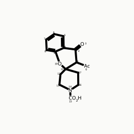 CC(=O)C1C(=O)c2ccccc2OC12CCN(C(=O)O)CC2